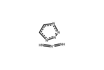 N=[N+]=N.c1cnnnn1